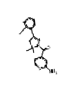 Cc1ccccc1C1=NN(C(=O)c2ccnc(N)c2)C(C)(C)C1